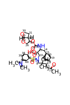 CC(=O)CCC(C)(C)CN(C[C@@H](O)[C@H](Cc1ccccc1)NC(=O)O[C@H]1CO[C@H]2OCC[C@H]21)S(=O)(=O)c1cccc(N(C)C)c1